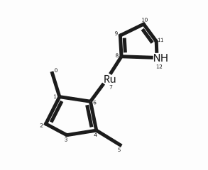 CC1=CCC(C)=[C]1[Ru][c]1ccc[nH]1